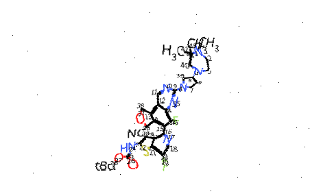 CN1CCN([C@@H]2CCN(c3ncc4c5c(c(-c6ncc(F)c7sc(NC(=O)OC(C)(C)C)c(C#N)c67)c(F)c4n3)COC5)C2)CC1(C)C